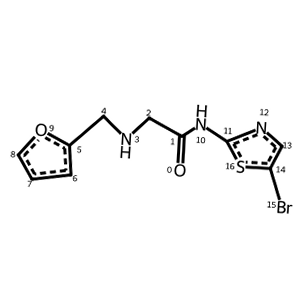 O=C(CNCc1ccco1)Nc1ncc(Br)s1